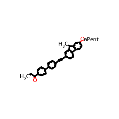 C=CC(=O)c1ccc(-c2ccc(C#Cc3ccc4c(c3)C(C)c3cc(OCCCCC)ccc3-4)cc2)cc1